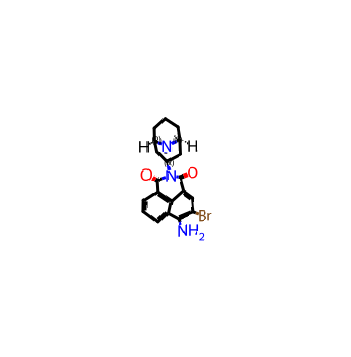 CN1[C@@H]2CCC[C@H]1C[C@@H](N1C(=O)c3cccc4c(N)c(Br)cc(c34)C1=O)C2